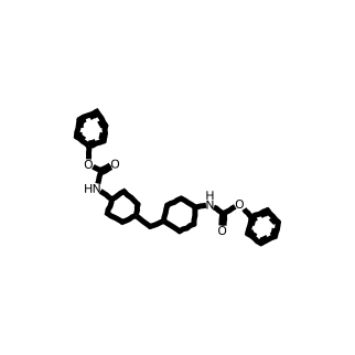 O=C(NC1CCC(CC2CCC(NC(=O)Oc3ccccc3)CC2)CC1)Oc1ccccc1